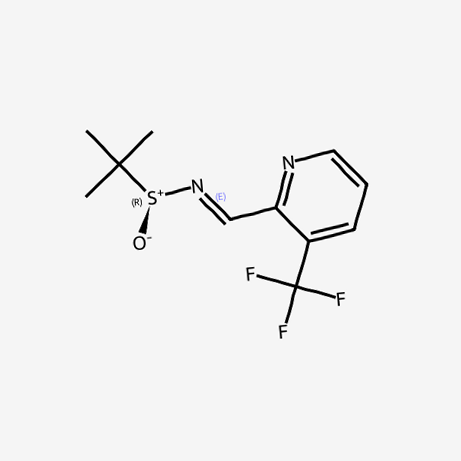 CC(C)(C)[S@+]([O-])/N=C/c1ncccc1C(F)(F)F